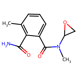 Cc1cccc(C(=O)N(C)C2CO2)c1C(N)=O